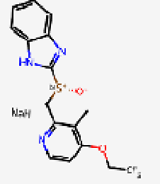 Cc1c(OCC(F)(F)F)ccnc1C[S@@+]([O-])c1nc2ccccc2[nH]1.[NaH]